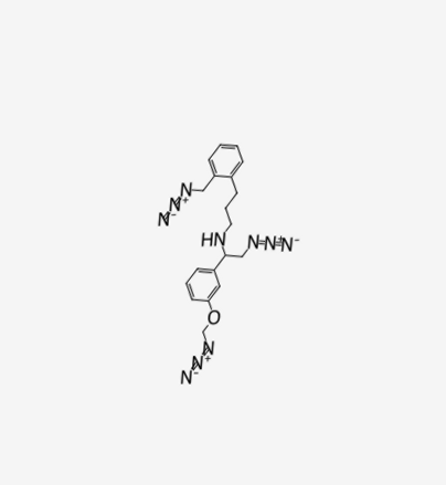 [N-]=[N+]=NCOc1cccc(C(CN=[N+]=[N-])NCCCc2ccccc2CN=[N+]=[N-])c1